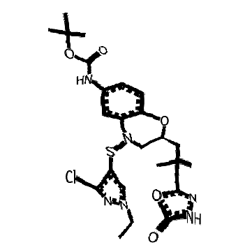 CCn1cc(SN2C[C@H](CC(C)(C)c3n[nH]c(=O)o3)Oc3ccc(NC(=O)OC(C)(C)C)cc32)c(Cl)n1